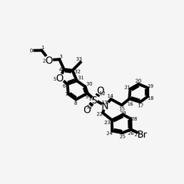 CCOCc1oc2ccc(S(=O)(=O)N(CCc3ccccc3)Cc3ccc(Br)cc3)cc2c1C